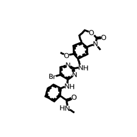 CNC(=O)c1ccccc1Nc1nc(Nc2cc3c(cc2OC)CCOC(=O)N3C)ncc1Br